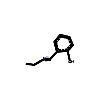 CC/N=C/c1ccccc1O